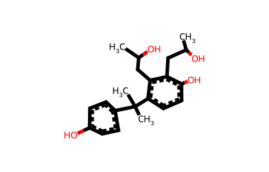 CC(O)Cc1c(O)ccc(C(C)(C)c2ccc(O)cc2)c1CC(C)O